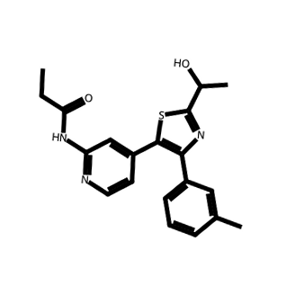 CCC(=O)Nc1cc(-c2sc(C(C)O)nc2-c2cccc(C)c2)ccn1